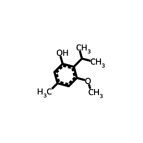 COc1cc(C)cc(O)c1C(C)C